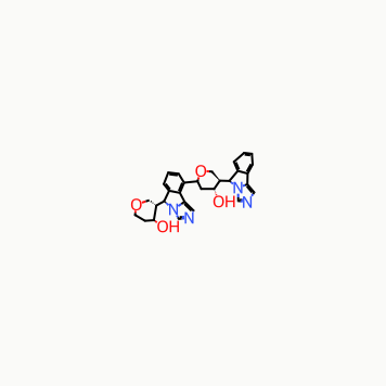 O[C@@H]1CC(c2cccc3c2-c2cncn2[C@H]3[C@H]2COCC[C@@H]2O)OC[C@H]1[C@H]1c2ccccc2-c2cncn21